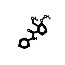 CCc1c(OC)cccc1C(=O)Nc1ccccc1